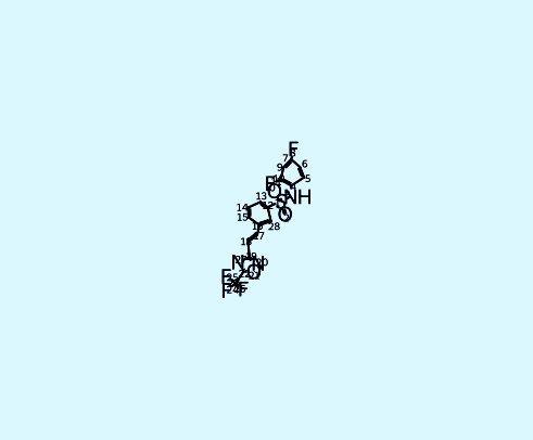 O=S(=O)(Nc1ccc(F)cc1F)c1cccc(C=Cc2noc(C(F)(F)F)n2)c1